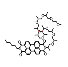 CCCCCCN1C(=O)c2ccc3c4ccc5c6c(ccc(c7ccc(c2c37)C1=O)c64)C(=O)N(C(C)COC(C)COC(C)COC(C)COC(C)COC(C)COC(C)COC(C)COC(C)COCCOC)C5=O